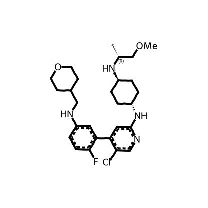 COC[C@@H](C)N[C@H]1CC[C@H](Nc2cc(-c3cc(NCC4CCOCC4)ccc3F)c(Cl)cn2)CC1